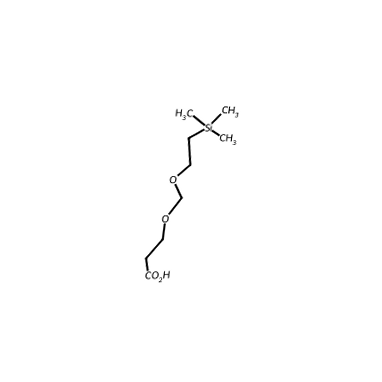 C[Si](C)(C)CCOCOCCC(=O)O